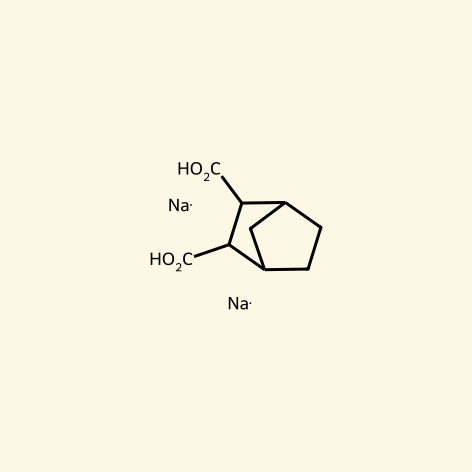 O=C(O)C1C2CCC(C2)C1C(=O)O.[Na].[Na]